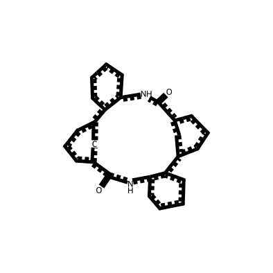 O=c1[nH]c2ccccc2c2cccc(c2)c(=O)[nH]c2ccccc2c2cccc1c2